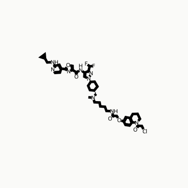 CN(CCCCCNC(=O)COc1ccc2c(c1)CCCN2C(=O)CCl)C[C@H]1CC[C@H](n2cc(NC(=O)c3coc(-c4ccnc(NCC5CC5)c4)n3)c(C(F)F)n2)CC1